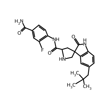 CC(C)(C)Cc1ccc2c(c1)C1(CNC(C(=O)Nc3ccc(C(N)=O)cc3F)C1)C(=O)N2